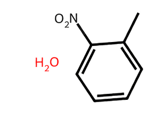 Cc1ccccc1[N+](=O)[O-].O